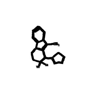 CCC1(CC)CCn2c(c(C)c3ccccc32)C1N1CCCC1